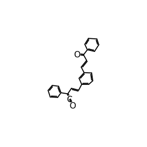 O=C=C(C=Cc1cccc(C=CC(=O)c2ccccc2)c1)c1ccccc1